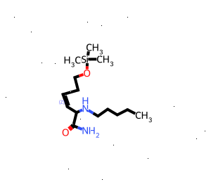 CCCCCNC(/C=C\CCO[Si](C)(C)C)C(N)=O